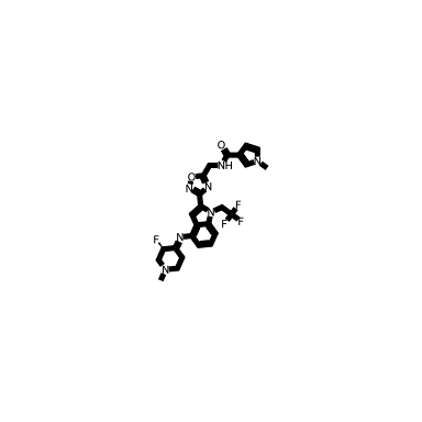 CN1CC/C(=N\c2cccc3c2cc(-c2noc(CNC(=O)c4ccn(C)c4)n2)n3CC(F)(F)F)[C@@H](F)C1